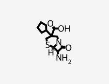 NC1C(=O)N2CC(C(=O)O)(C3CCCC3)CS[C@H]12